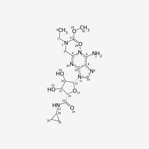 CCN(Cc1nc(N)c2ncn([C@@H]3O[C@H](C(=O)NC4CC4)C(O)C3O)c2n1)C(=O)OC